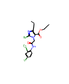 CCOC(=O)c1c(CC)nc(Br)n1CC(=O)Nc1ccc(Cl)cc1Cl